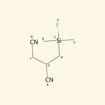 C[Si](C)(F)CC(C#N)CC#N